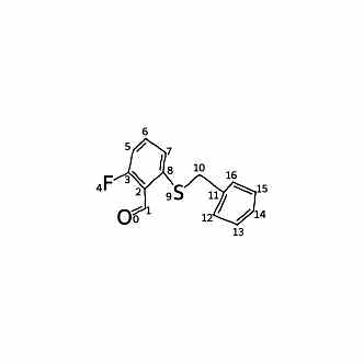 O=Cc1c(F)cccc1SCc1ccccc1